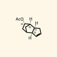 CC(=O)O[C@H]1CC2C[C@@H]1[C@H]1CC=C[C@@H]21